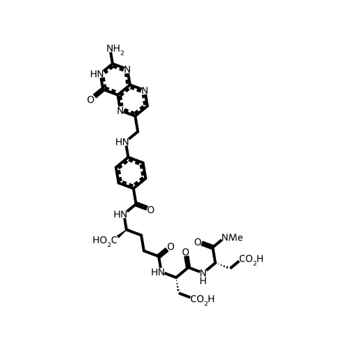 CNC(=O)[C@H](CC(=O)O)NC(=O)[C@H](CC(=O)O)NC(=O)CC[C@H](NC(=O)c1ccc(NCc2cnc3nc(N)[nH]c(=O)c3n2)cc1)C(=O)O